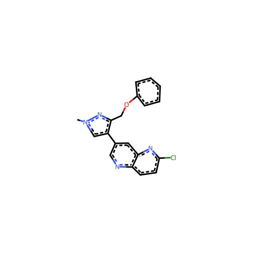 Cn1cc(-c2cnc3ccc(Cl)nc3c2)c(COc2ccccc2)n1